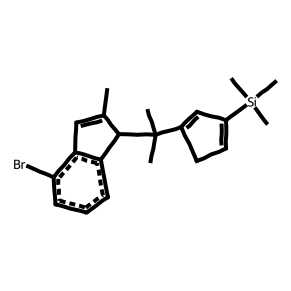 CC1=Cc2c(Br)cccc2C1C(C)(C)C1=CC([Si](C)(C)C)=CC1